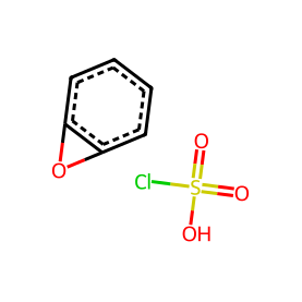 O=S(=O)(O)Cl.c1ccc2c(c1)O2